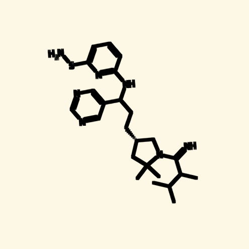 CC(C)C(C)C(=N)N1C[C@@H](CCC(Nc2cccc(SN)n2)c2cncnc2)CC1(C)C